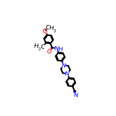 COc1ccc(C(=O)Nc2ccc(N3CCN(c4ccc(C#N)cc4)CC3)cc2)c(C)c1